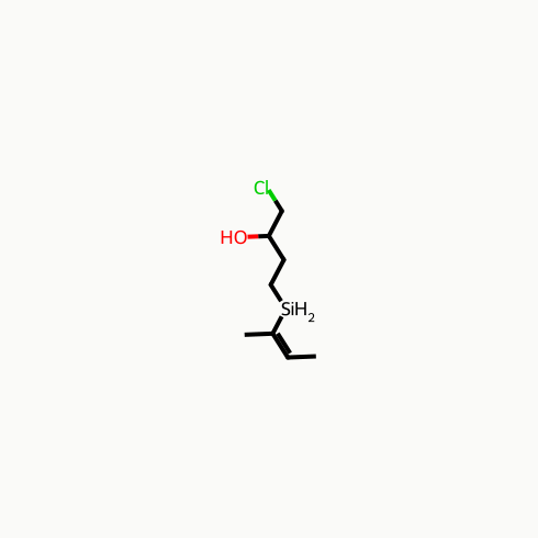 CC=C(C)[SiH2]CCC(O)CCl